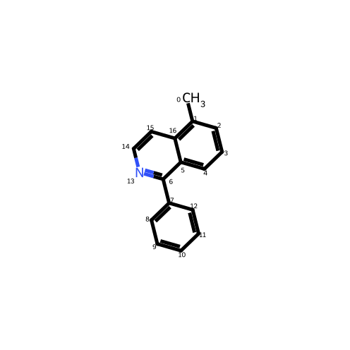 Cc1cccc2c(-c3ccccc3)nccc12